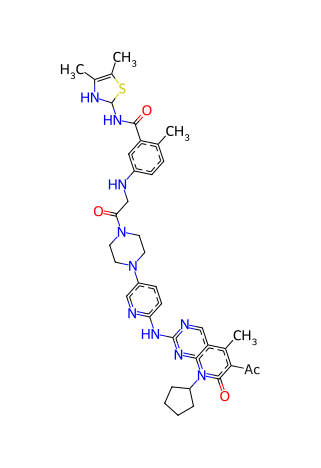 CC(=O)c1c(C)c2cnc(Nc3ccc(N4CCN(C(=O)CNc5ccc(C)c(C(=O)NC6NC(C)=C(C)S6)c5)CC4)cn3)nc2n(C2CCCC2)c1=O